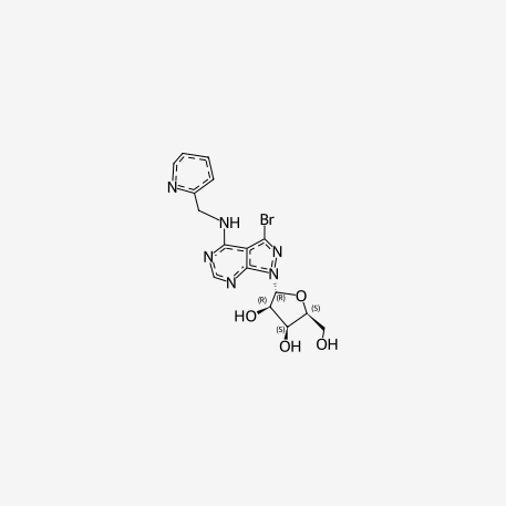 OC[C@@H]1O[C@@H](n2nc(Br)c3c(NCc4ccccn4)ncnc32)[C@H](O)[C@@H]1O